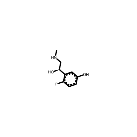 CNC[C@H](O)c1cc(O)ccc1F